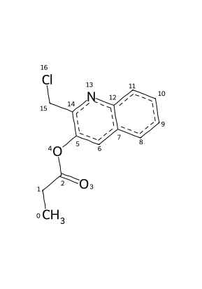 CCC(=O)Oc1cc2ccccc2nc1CCl